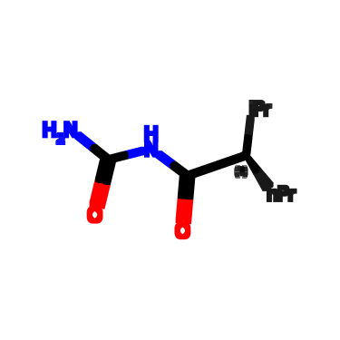 CCC[C@@H](C(=O)NC(N)=O)C(C)C